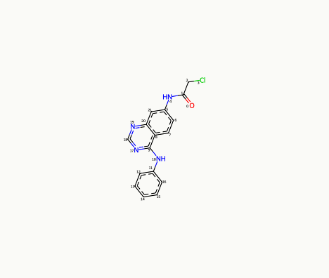 O=C(CCl)Nc1ccc2c(Nc3ccccc3)ncnc2c1